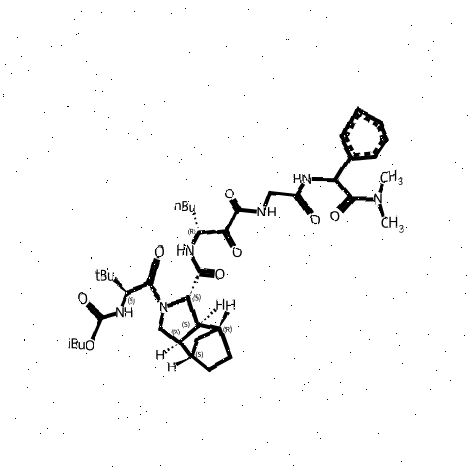 CCCC[C@@H](NC(=O)[C@@H]1[C@H]2[C@@H]3CC[C@@H](C3)[C@H]2CN1C(=O)[C@@H](NC(=O)OCC(C)C)C(C)(C)C)C(=O)C(=O)NCC(=O)NC(C(=O)N(C)C)c1ccccc1